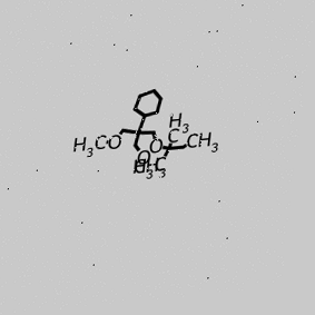 CCC(C)(C)OCC(COC)(COC)C1CCCCC1